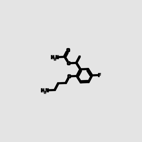 CC(OC(N)=O)c1cc(F)ccc1OCCCN